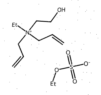 C=CC[N+](CC)(CC=C)CCO.CCOS(=O)(=O)[O-]